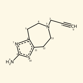 C#CCN1CCc2nc(N)sc2CC1